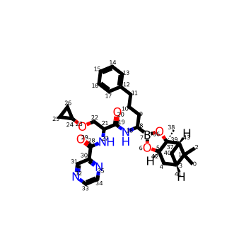 CC1(C)[C@@H]2C[C@H]3OB(C(CCCc4ccccc4)NC(=O)C(COC4CC4)NC(=O)c4cnccn4)O[C@@]3(C)[C@H]1C2